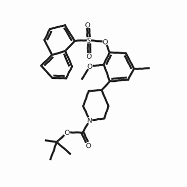 COc1c(OS(=O)(=O)c2cccc3ccccc23)cc(C)cc1C1CCN(C(=O)OC(C)(C)C)CC1